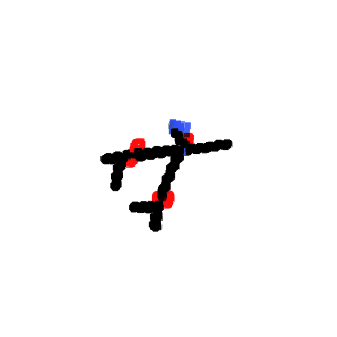 CCCCCCCCCCN(C(=O)CCCNC)C(CCCCCCCCC(=O)OCC(CCCC)CCCCCC)CCCCCCCCC(=O)OCC(CCCC)CCCCCC